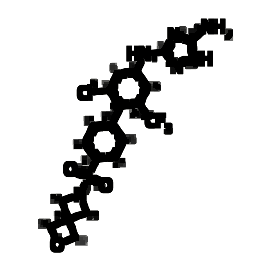 Nc1nc(Nc2cc(Cl)c(-c3ccc(S(=O)(=O)N4CC5(COC5)C4)cc3)c(C(F)(F)F)c2)n[nH]1